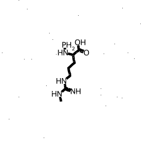 CNC(=N)NCCCC(NP)C(=O)O